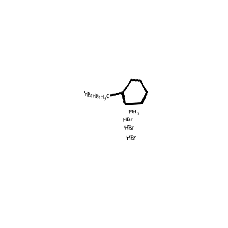 Br.Br.Br.Br.Br.CC1CCCCC1.P